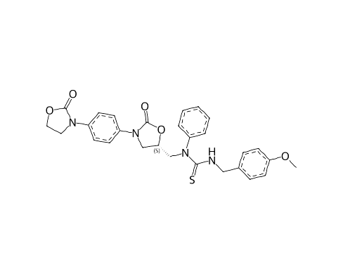 COc1ccc(CNC(=S)N(C[C@@H]2CN(c3ccc(N4CCOC4=O)cc3)C(=O)O2)c2ccccc2)cc1